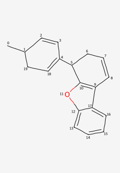 CC1C=CC(C2CC=Cc3c2oc2ccccc32)=CC1